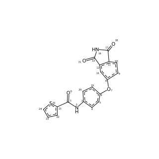 O=C(Nc1ccc(Oc2ccc3c(c2)C(=O)NC3=O)cc1)c1cccs1